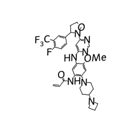 C=CC(=O)Nc1cc(Nc2cc(N3OCCC3c3ccc(F)c(C(F)(F)F)c3)ncn2)c(OC)cc1N1CCC(N2CCC2)CC1